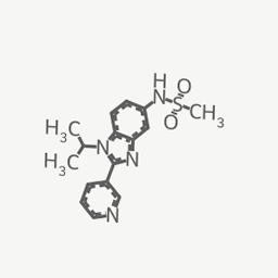 CC(C)n1c(-c2cccnc2)nc2cc(NS(C)(=O)=O)ccc21